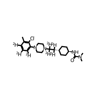 [2H]c1c([2H])c(C)c(Cl)c(N2CCN(C([2H])([2H])C([2H])([2H])[C@H]3CC[C@H](NC(=O)N(C)C)CC3)CC2)c1[2H]